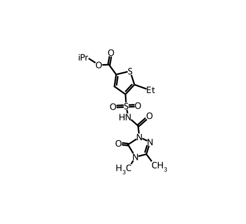 CCc1sc(C(=O)OC(C)C)cc1S(=O)(=O)NC(=O)n1nc(C)n(C)c1=O